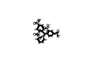 O=[N+]([O-])c1ccc(C(c2ccc([N+](=O)[O-])cc2[N+](=O)[O-])[n+]2ccccc2)c([N+](=O)[O-])c1